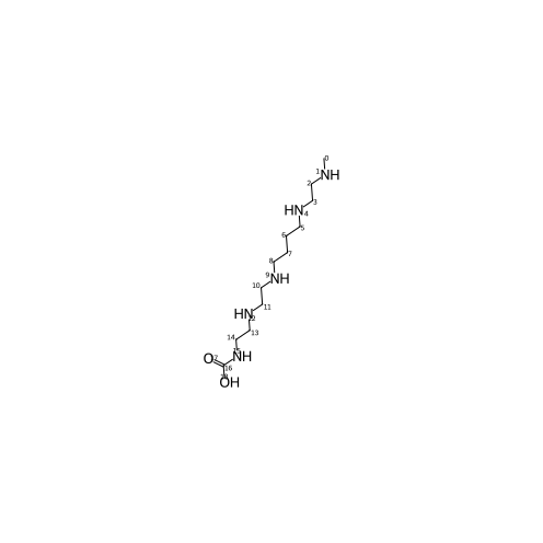 CNCCNCCCCNCCNCCNC(=O)O